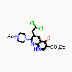 CCOC(=O)c1c[nH]c2nc(N3CCN(C(C)=O)CC3)c(CC(Cl)Cl)cc2c1=O